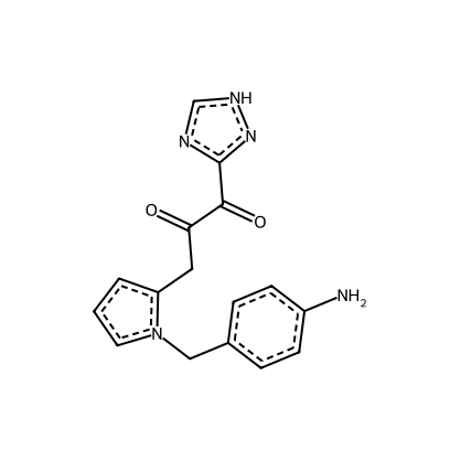 Nc1ccc(Cn2cccc2CC(=O)C(=O)c2nc[nH]n2)cc1